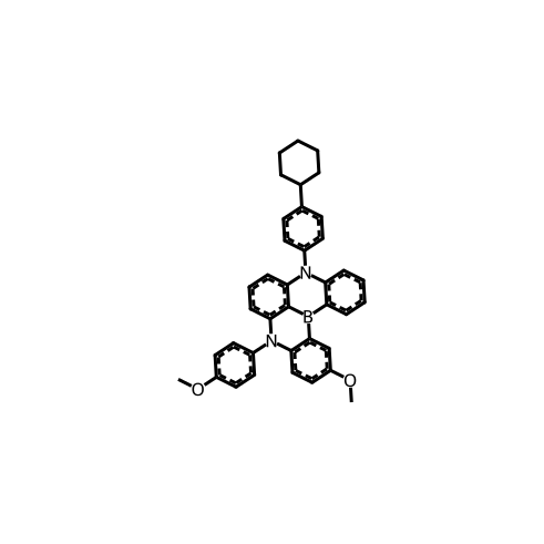 COc1ccc(N2c3ccc(OC)cc3B3c4ccccc4N(c4ccc(C5CCCCC5)cc4)c4cccc2c43)cc1